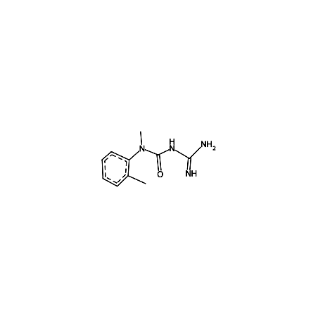 Cc1ccccc1N(C)C(=O)NC(=N)N